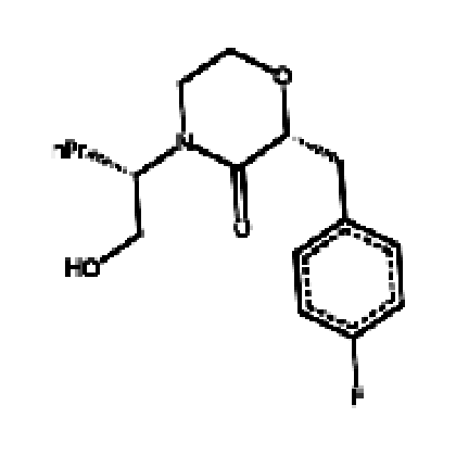 CCC[C@@H](CO)N1CCO[C@H](Cc2ccc(F)cc2)C1=O